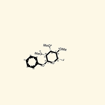 CO[C@@H]1[C@@H](OC)[C@H](C)O[C@@H](Oc2ccccc2)[C@@H]1OC